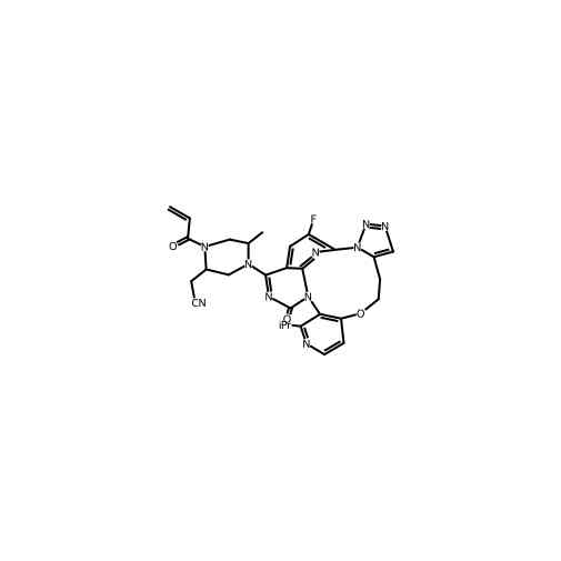 C=CC(=O)N1CC(C)N(c2nc(=O)n3c4nc(c(F)cc24)-n2nncc2CCOc2ccnc(C(C)C)c2-3)CC1CC#N